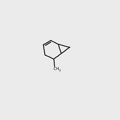 CC1CC=CC2CC12